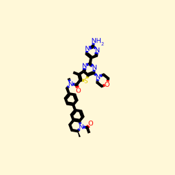 CC(=O)N1c2ccc(-c3ccc(CN(C)C(=O)c4sc5c(N6CCOCC6)nc(-c6cnc(N)nc6)nc5c4C)cc3)cc2CC[C@@H]1C